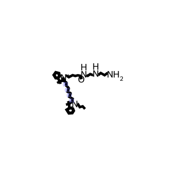 CCCCN1/C(=C/C=C/C=C/C=C/C2=[N+](CCCCCC(=O)NCCCNCCCCN)c3ccccc3C2(C)C)C(C)(C)c2ccccc21